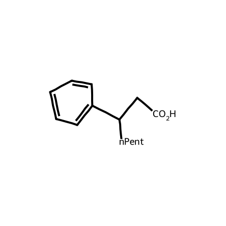 CCCCCC(CC(=O)O)c1ccccc1